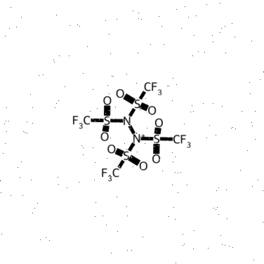 O=S(=O)(N([N+](S(=O)(=O)C(F)(F)F)S(=O)(=O)C(F)(F)F)S(=O)(=O)C(F)(F)F)C(F)(F)F